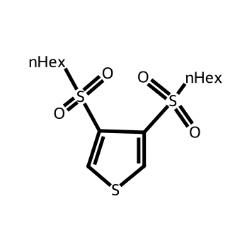 CCCCCCS(=O)(=O)c1cscc1S(=O)(=O)CCCCCC